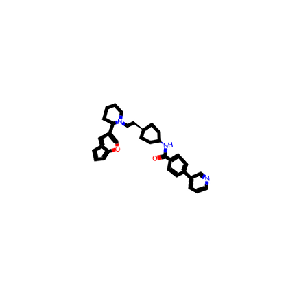 O=C(N[C@H]1CC[C@H](CCN2CCCCC2c2coc3cccc-3c2)CC1)c1ccc(-c2cccnc2)cc1